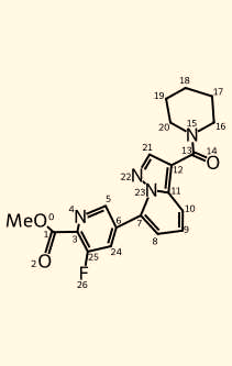 COC(=O)c1ncc(-c2cccc3c(C(=O)N4CCCCC4)cnn23)cc1F